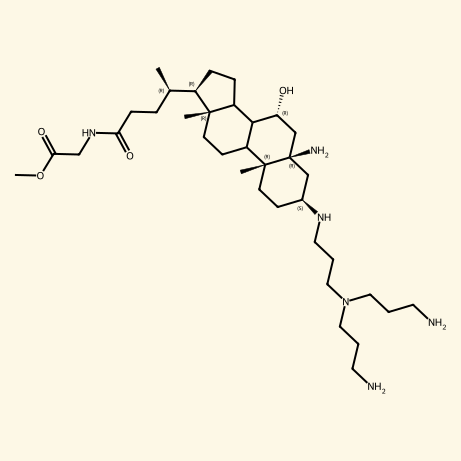 COC(=O)CNC(=O)CC[C@@H](C)[C@H]1CCC2C3C(CC[C@@]21C)[C@@]1(C)CC[C@H](NCCCN(CCCN)CCCN)C[C@@]1(N)C[C@H]3O